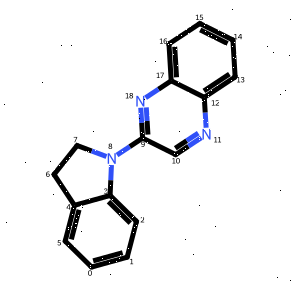 c1ccc2c(c1)CCN2c1cnc2ccccc2n1